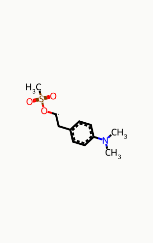 CN(C)c1ccc(C[CH]OS(C)(=O)=O)cc1